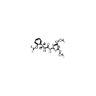 COc1nc(NC(=O)NS(=O)(=O)c2ccccc2OC(F)F)nc(OC)n1